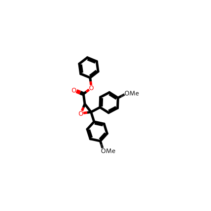 COc1ccc(C2(c3ccc(OC)cc3)OC2C(=O)Oc2ccccc2)cc1